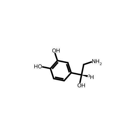 [3H][C@](O)(CN)c1ccc(O)c(O)c1